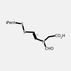 CCCC(C)SS/C=C/N(C=O)CC(=O)O